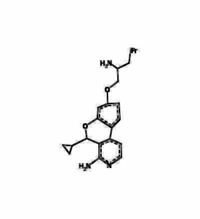 CC(C)CC(N)COc1ccc2c(c1)OC(C1CC1)c1c-2ccnc1N